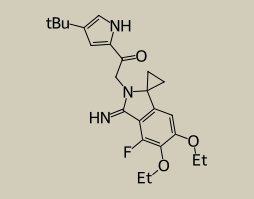 CCOc1cc2c(c(F)c1OCC)C(=N)N(CC(=O)c1cc(C(C)(C)C)c[nH]1)C21CC1